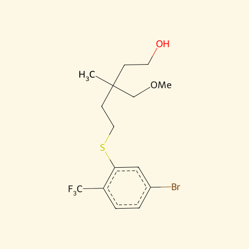 COCC(C)(CCO)CCSc1cc(Br)ccc1C(F)(F)F